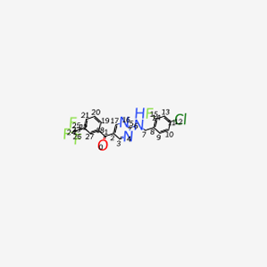 O=C(c1cnc(NCc2ccc(Cl)cc2F)nc1)c1cccc(C(F)(F)F)c1